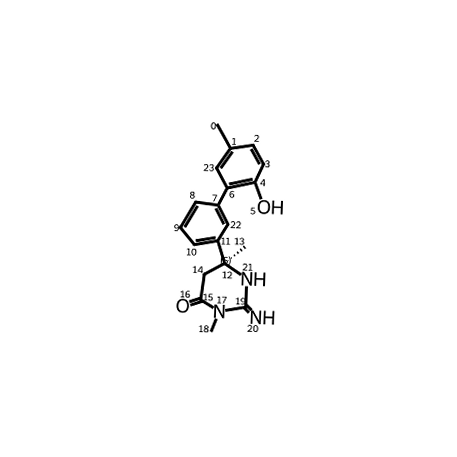 Cc1ccc(O)c(-c2cccc([C@]3(C)CC(=O)N(C)C(=N)N3)c2)c1